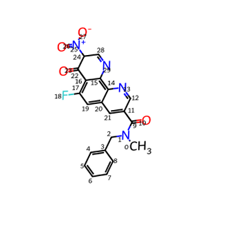 CN(Cc1ccccc1)C(=O)c1cnc2c3c(c(F)cc2c1)C(=O)C([N+](=O)[O-])C=N3